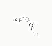 C=CCC(F)(F)c1ccc(CC2CCN(C(=O)N3CC4(COC(=O)N4)C3)CC2)c(C#N)c1